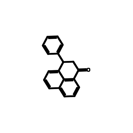 O=C1CC(c2ccccc2)c2cccc3cccc1c23